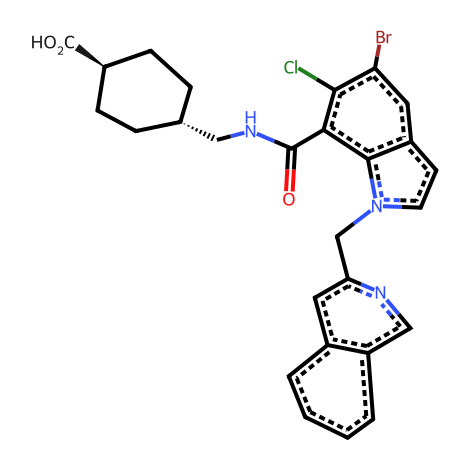 O=C(NC[C@H]1CC[C@H](C(=O)O)CC1)c1c(Cl)c(Br)cc2ccn(Cc3cc4ccccc4cn3)c12